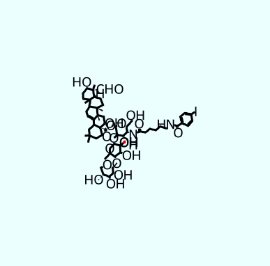 CC1O[C@@H](OC2C(O)[C@@H](NC(=O)CCCCCNC(=O)c3ccc(I)cc3)C(CO)O[C@H]2OC(=O)[C@]23CCC(C)(C)CC2C2=CCC4C5(C)CC[C@H](O)[C@](C)(C=O)[C@@H]5CC[C@]4(C)[C@]2(C)CC3O)C(O)C(O)[C@H]1O[C@@H]1OC[C@@H](O)C(O)C1O